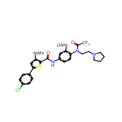 CNc1cc(-c2ccc(Cl)cc2)sc1C(=O)Nc1ccc(N(CCN2CCCC2)C(=O)C(F)(F)F)c(OC)c1